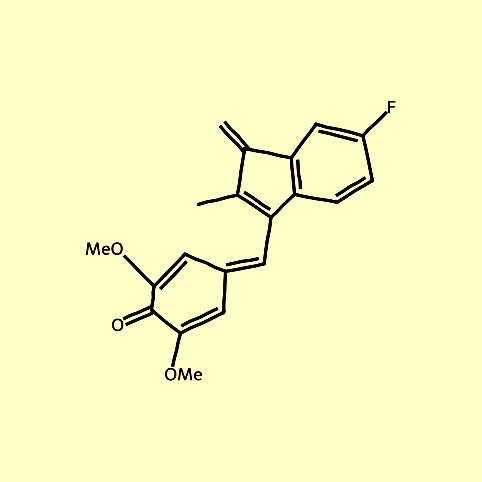 C=C1C(C)=C(C=C2C=C(OC)C(=O)C(OC)=C2)c2ccc(F)cc21